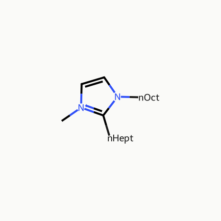 CCCCCCCCn1cc[n+](C)c1CCCCCCC